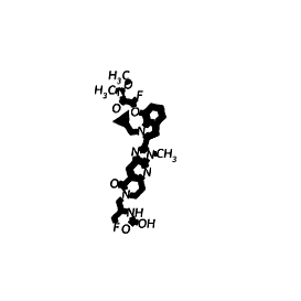 CON(C)C(=O)C(F)Oc1cccc2cc(-c3nc4cc5c(nc4n3C)CCN(CC(CF)NC(=O)O)C5=O)n(CC3CC3)c12